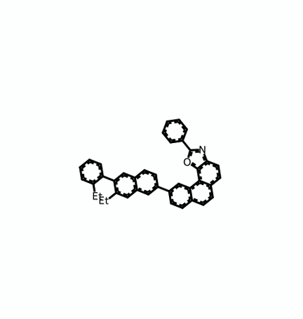 CCc1ccccc1-c1cc2ccc(-c3ccc4ccc5ccc6nc(-c7ccccc7)oc6c5c4c3)cc2cc1CC